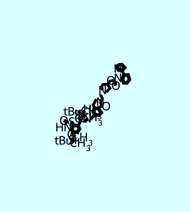 CC(C)(C)[Si](C)(C)Oc1ccc([C@H](CNCc2ccc3c(c2)CCN(CCN2CCC(OC(=O)Nc4ccccc4-c4ccccc4)CC2)C3=O)O[Si](C)(C)C(C)(C)C)c2sc(=O)[nH]c12